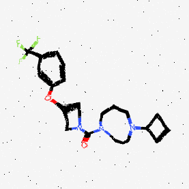 O=C(N1CCCN(C2CCC2)CC1)N1CC(Oc2cccc(C(F)(F)F)c2)C1